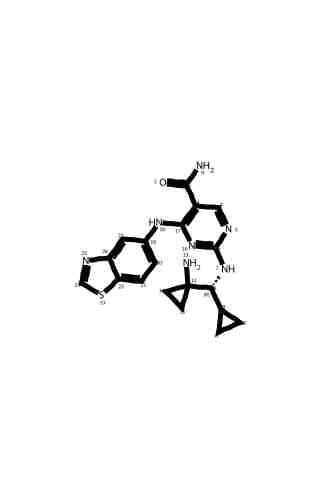 NC(=O)c1cnc(N[C@H](C2CC2)C2(N)CC2)nc1Nc1ccc2scnc2c1